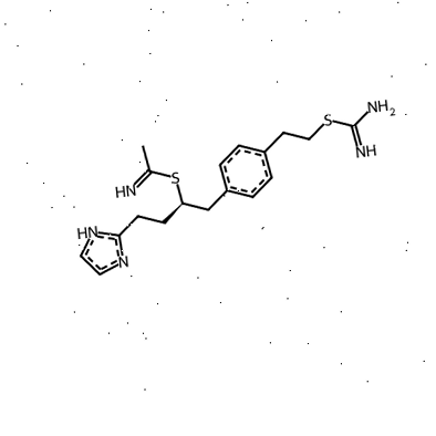 CC(=N)S[C@H](CCc1ncc[nH]1)Cc1ccc(CCSC(=N)N)cc1